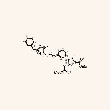 COC(=O)C[C@H]1CN(C(=O)OCC(C)C)C[C@H]1c1cccc(OCCc2nc(Cc3ccccc3)oc2C)c1